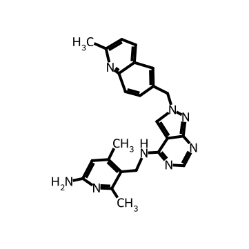 Cc1ccc2cc(Cn3cc4c(NCc5c(C)cc(N)nc5C)ncnc4n3)ccc2n1